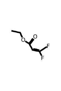 CCOC(=O)C=C(F)F